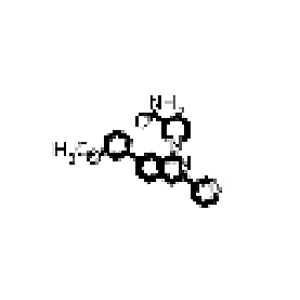 COc1cccc(-c2ccc3cc(-c4cccnc4)nc(N4CCCC(C(N)=O)C4)c3c2)c1